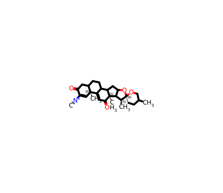 [C-]#[N+]C1=C[C@]2(C)C3=CC(=O)[C@@]4(C)C(CC5O[C@]6(CCC(C)CO6)[C@@H](C)C54)C3CCC2CC1=O